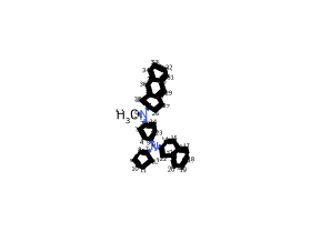 CN(c1ccc(N(c2ccccc2)c2ccc3ccccc3c2)cc1)c1ccc2cc3ccccc3cc2c1